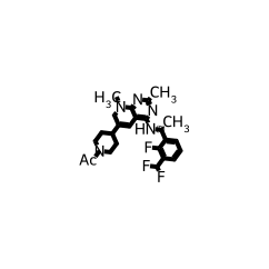 CC(=O)N1CCC(C2=Cc3c(N[C@H](C)c4cccc(C(F)F)c4F)nc(C)nc3N(C)C2)CC1